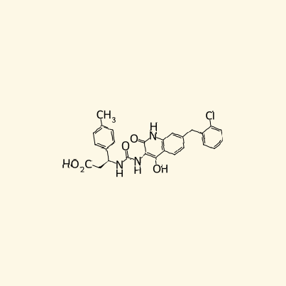 Cc1ccc([C@H](CC(=O)O)NC(=O)Nc2c(O)c3ccc(Cc4ccccc4Cl)cc3[nH]c2=O)cc1